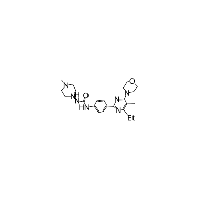 CCc1nc(-c2ccc(NC(=O)NN3CCN(C)CC3)cc2)nc(N2CCOCC2)c1C